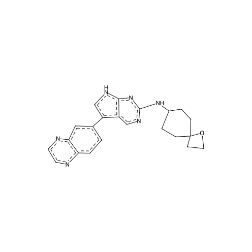 c1cnc2cc(-c3c[nH]c4nc(NC5CCC6(CCO6)CC5)ncc34)ccc2n1